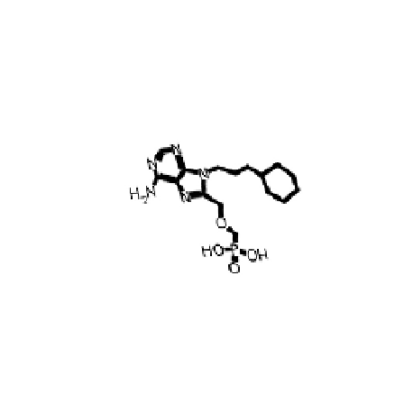 Nc1ncnc2c1nc(COCP(=O)(O)O)n2CCCC1CCCCC1